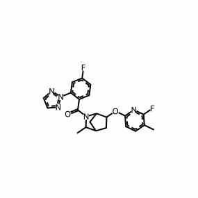 Cc1ccc(OC2CC3CC2N(C(=O)c2ccc(F)cc2-n2nccn2)C3C)nc1F